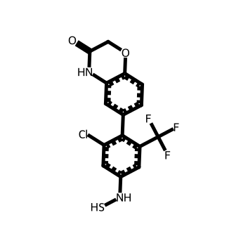 O=C1COc2ccc(-c3c(Cl)cc(NS)cc3C(F)(F)F)cc2N1